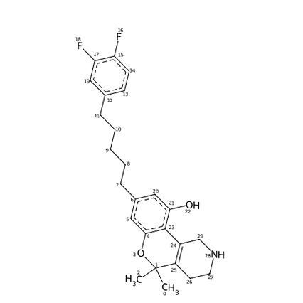 CC1(C)Oc2cc(CCCCCc3ccc(F)c(F)c3)cc(O)c2C2=C1CCNC2